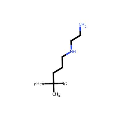 CCCCCCC(C)(CC)CCCNCCN